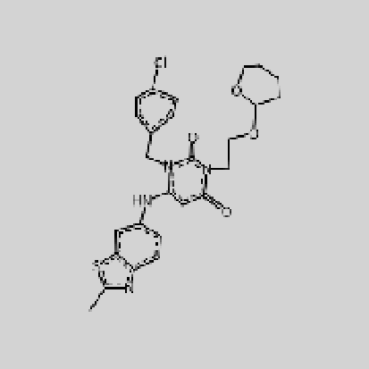 Cc1nc2ccc(Nc3cc(=O)n(CCOC4CCCCO4)c(=O)n3Cc3ccc(Cl)cc3)cc2s1